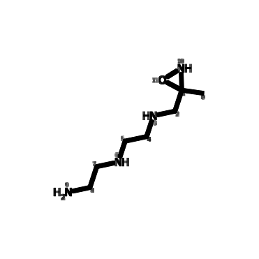 CC1(CNCCNCCN)NO1